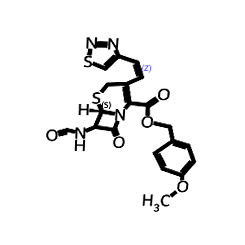 COc1ccc(COC(=O)C2=C(/C=C\c3csnn3)CS[C@H]3C(NC=O)C(=O)N23)cc1